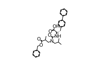 CC(C)CN(CC(C)C(=O)OCc1ccccc1)C(=O)N[C@@H](Cc1ccc(-c2ccccc2)cc1)C(=O)O